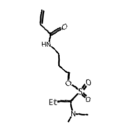 C=CC(=O)NCCCOS(=O)(=O)C(CC)N(C)C